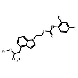 CC(C)OC(Cc1cccc2c1ccn2CCOC(=O)Nc1ccc(F)cc1F)C(=O)O